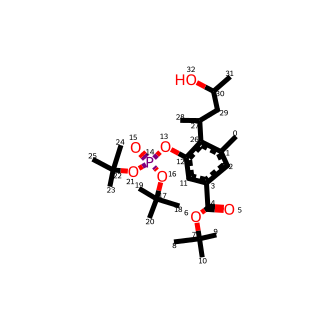 Cc1cc(C(=O)OC(C)(C)C)cc(OP(=O)(OC(C)(C)C)OC(C)(C)C)c1C(C)CC(C)O